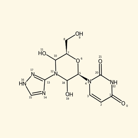 O=c1ccn([C@@H]2O[C@H](CO)C(O)N(c3nc[nH]n3)C2O)c(=O)[nH]1